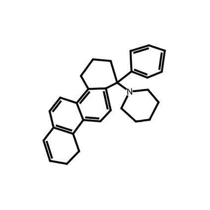 C1=Cc2ccc3c4c(ccc3c2CC1)C(c1ccccc1)(N1CCCCC1)CCC4